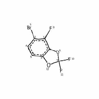 Fc1c(Br)ccc2c1OC(F)(F)O2